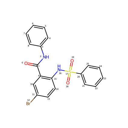 O=C(Nc1ccccc1)c1cc(Br)ccc1NS(=O)(=O)c1ccccc1